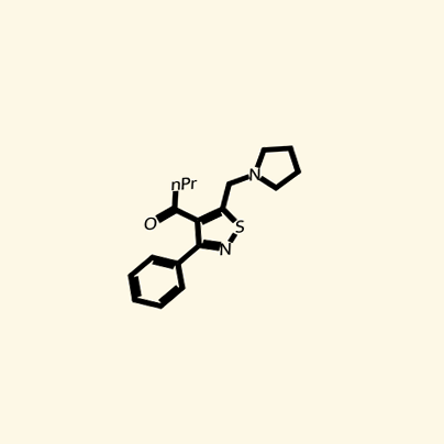 CCCC(=O)c1c(-c2ccccc2)nsc1CN1CCCC1